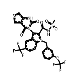 CS(=O)(=O)NC(=O)c1c(-n2c(=O)[nH]c3cscc3c2=O)c2cc(C(F)(F)F)ccc2n1Cc1cccc(OC(F)(F)F)c1